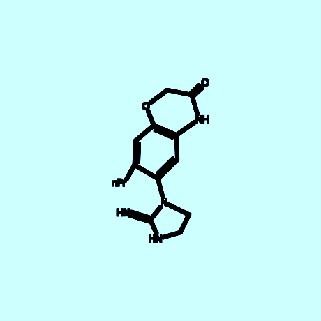 CCCc1cc2c(cc1N1CCNC1=N)NC(=O)CO2